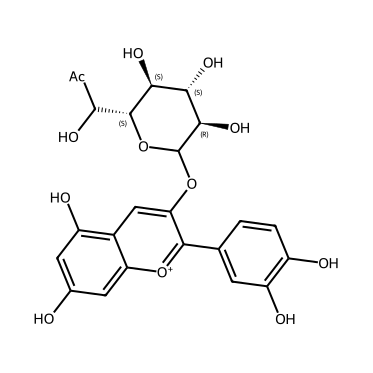 CC(=O)C(O)[C@H]1OC(Oc2cc3c(O)cc(O)cc3[o+]c2-c2ccc(O)c(O)c2)[C@H](O)[C@@H](O)[C@@H]1O